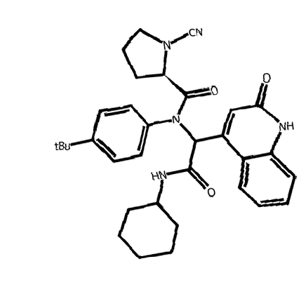 CC(C)(C)c1ccc(N(C(=O)[C@H]2CCCN2C#N)C(C(=O)NC2CCCCC2)c2cc(=O)[nH]c3ccccc23)cc1